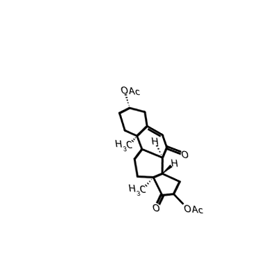 CC(=O)OC1C[C@H]2[C@@H]3C(=O)C=C4C[C@@H](OC(C)=O)CC[C@]4(C)C3CC[C@]2(C)C1=O